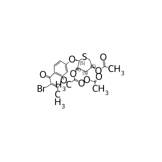 CC(=O)O[C@@H]1[C@@H](OC(C)=O)[C@@H](Oc2ccc3c(=O)c(Br)c(C)oc3c2)SC[C@H]1OC(C)=O